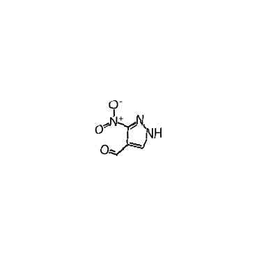 O=Cc1c[nH]nc1[N+](=O)[O-]